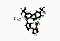 C[C](C)=[Zr+2]([C]1=C(c2ccsc2)C=CC1C)[CH]1c2ccc(C(C)(C)C)cc2-c2cc(C(C)(C)C)ccc21.[Cl-].[Cl-]